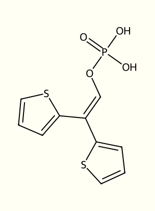 O=P(O)(O)OC=C(c1cccs1)c1cccs1